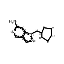 Nc1cc2c(cn1)cnn2CC1CCCCC1